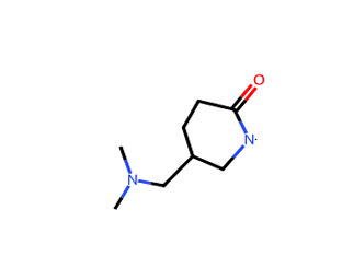 CN(C)CC1CCC(=O)[N]C1